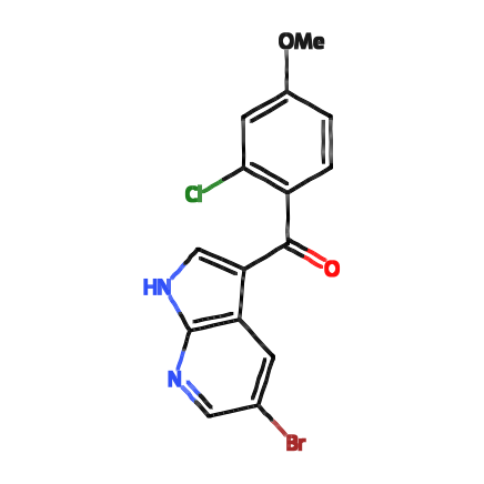 COc1ccc(C(=O)c2c[nH]c3ncc(Br)cc23)c(Cl)c1